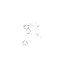 CN1CCN(C(=O)C2CCCN(c3nccc4nc(NCc5ccccc5Cl)ncc34)C2)CC1